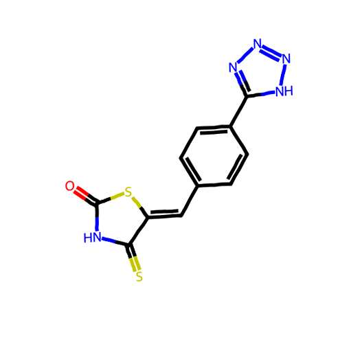 O=C1NC(=S)C(=Cc2ccc(-c3nnn[nH]3)cc2)S1